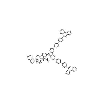 CC1(C)c2cc(-c3cccc4ccccc34)ccc2-c2ccc(-n3c4ccc(-c5ccc(-c6ccc(-c7cc8ccccc8c8ccccc78)cc6)cc5)cc4c4cc(-c5ccc(-c6ccc(-c7cc8ccccc8c8ccccc78)cc6)cc5)ccc43)cc21